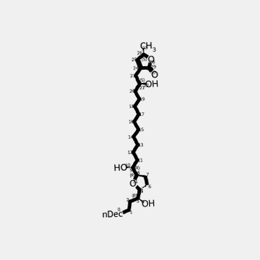 CCCCCCCCCCCC[C@@H](O)[C@H]1CC[C@H]([C@H](O)CCCCCCCCCC[C@H](O)CC2=C[C@H](C)OC2=O)O1